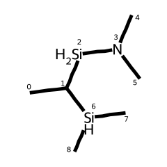 CC([SiH2]N(C)C)[SiH](C)C